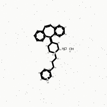 C1=Cc2ccccc2C(=C2CCN(CCCc3cccnc3)CC2)c2ccccc21.Cl.Cl